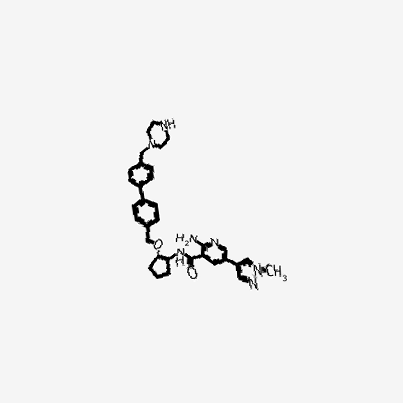 Cn1cc(-c2cnc(N)c(C(=O)NC3CCC[C@@H]3OCc3ccc(-c4ccc(CN5CCNCC5)cc4)cc3)c2)cn1